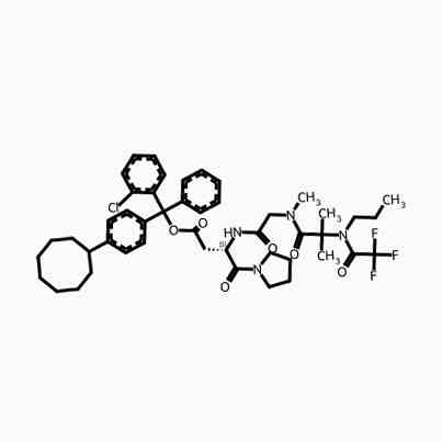 CCCN(C(=O)C(F)(F)F)C(C)(C)C(=O)N(C)CC(=O)N[C@@H](CC(=O)OC(c1ccccc1)(c1ccc(C2CCCCCCC2)cc1)c1ccccc1Cl)C(=O)N1CCCC1